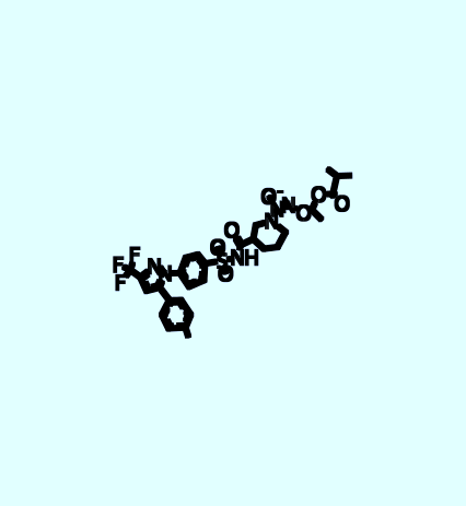 Cc1ccc(-c2cc(C(F)(F)F)nn2-c2ccc(S(=O)(=O)NC(=O)C3CCCN(/[N+]([O-])=N\OC(C)OC(=O)C(C)C)C3)cc2)cc1